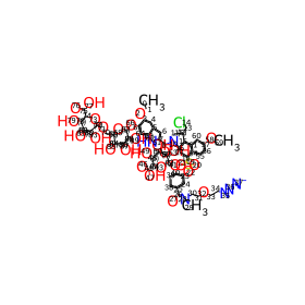 CCOc1cc2cc(C(=O)N3C[C@@H](CCl)c4c3cc(S(=O)(=O)Oc3cc(C(=O)N(C)CCOCCN=[N+]=[N-])ccc3O[C@@H]3O[C@H](C(=O)O)[C@@H](O)[C@H](O)[C@H]3O)c3ccc(OC)cc43)[nH]c2cc1O[C@@H]1O[C@H](CO[C@@H]2OC(C(=O)O)[C@@H](O)[C@H](O)[C@H]2O)[C@H](O)[C@H](O)[C@H]1O